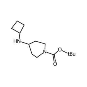 CC(C)(C)OC(=O)N1CCC(NC2CCC2)CC1